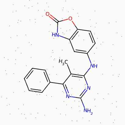 Cc1c(Nc2ccc3oc(=O)[nH]c3c2)nc(N)nc1-c1ccccc1